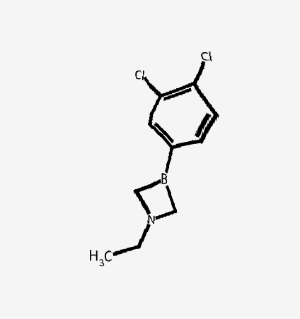 CCN1CB(c2ccc(Cl)c(Cl)c2)C1